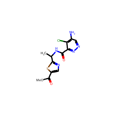 COC(=O)c1cnc(C(C)NC(=O)c2nncc(N)c2Cl)s1